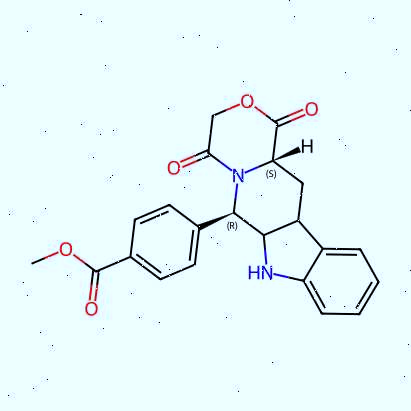 COC(=O)c1ccc([C@@H]2C3Nc4ccccc4C3C[C@H]3C(=O)OCC(=O)N23)cc1